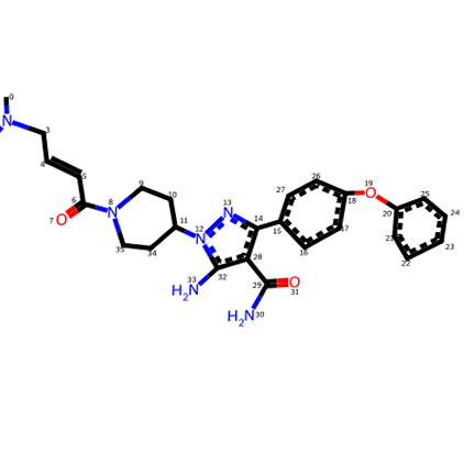 CN(C)C/C=C/C(=O)N1CCC(n2nc(-c3ccc(Oc4ccccc4)cc3)c(C(N)=O)c2N)CC1